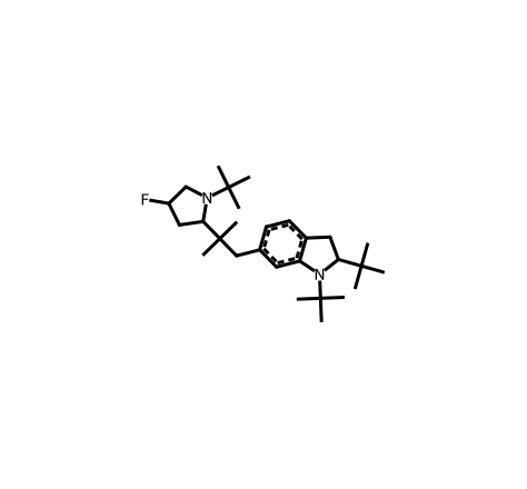 CC(C)(C)C1Cc2ccc(CC(C)(C)C3CC(F)CN3C(C)(C)C)cc2N1C(C)(C)C